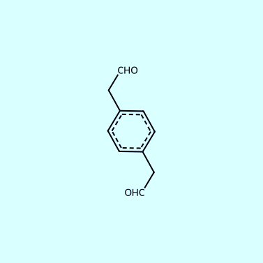 O=CCc1ccc(CC=O)cc1